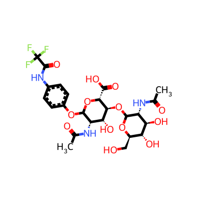 CC(=O)N[C@@H]1C(Oc2ccc(NC(=O)C(F)(F)F)cc2)O[C@H](C(=O)O)[C@@H](OC2O[C@H](CO)[C@@H](O)[C@H](O)[C@H]2NC(C)=O)[C@@H]1O